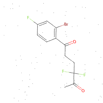 CC(=O)C(F)(F)CCC(=O)c1ccc(F)cc1Br